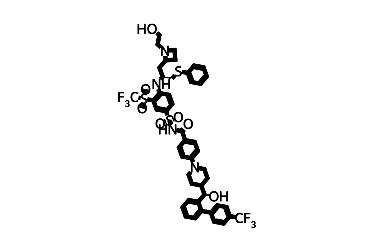 O=C(NS(=O)(=O)c1ccc(N[C@@H](CSc2ccccc2)CC2CCN2CCO)c(S(=O)(=O)C(F)(F)F)c1)c1ccc(N2CCC([C@H](O)c3ccccc3-c3ccc(C(F)(F)F)cc3)CC2)cc1